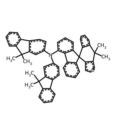 CC1(C)c2ccccc2-c2ccc(N(c3ccc4c(c3)C(C)(C)c3ccccc3-4)c3cccc4c3-c3ccccc3C43c4ccccc4C(C)(C)c4ccccc43)cc21